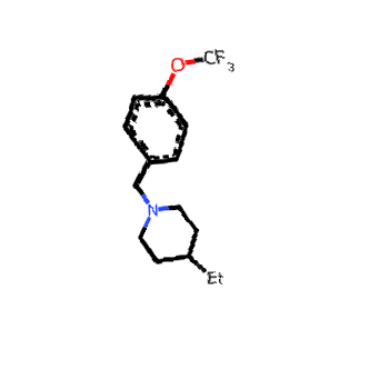 CCC1CCN(Cc2ccc(OC(F)(F)F)cc2)CC1